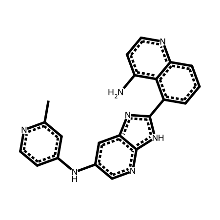 Cc1cc(Nc2cnc3[nH]c(-c4cccc5nccc(N)c45)nc3c2)ccn1